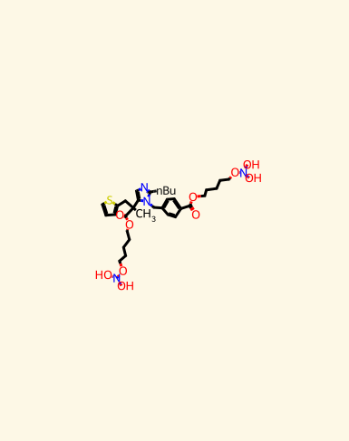 CCCCc1ncc(C(C)(Cc2cccs2)C(=O)OCCCCCON(O)O)n1Cc1ccc(C(=O)OCCCCCON(O)O)cc1